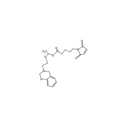 CC(OCCN1COc2ccccc2C1)OC(=O)CCCCN1C(=O)C=CC1=O